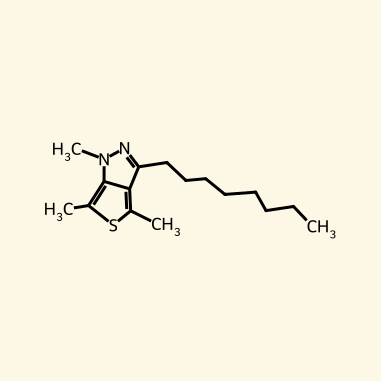 CCCCCCCCc1nn(C)c2c(C)sc(C)c12